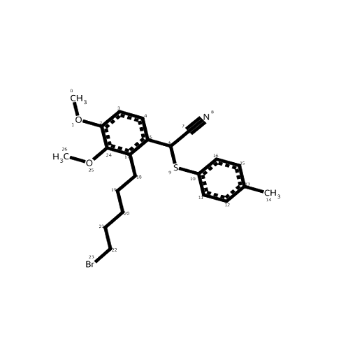 COc1ccc(C(C#N)Sc2ccc(C)cc2)c(CCCCCBr)c1OC